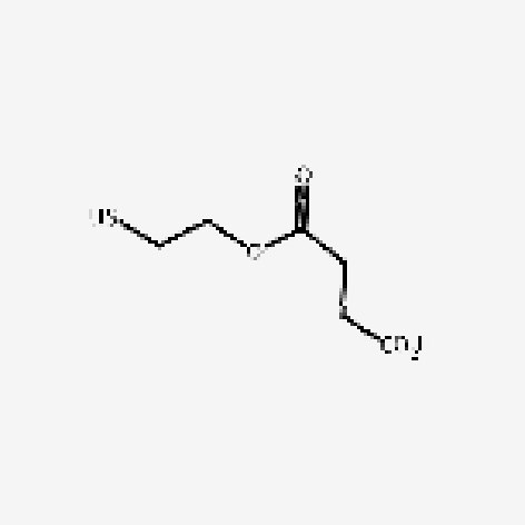 O=C(O)CCC(=O)OCCS